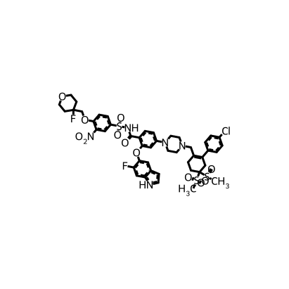 CS(=O)(=O)C1(S(C)(=O)=O)CCC(CN2CCN(c3ccc(C(=O)NS(=O)(=O)c4ccc(OCC5(F)CCOCC5)c([N+](=O)[O-])c4)c(Oc4cc5cc[nH]c5cc4F)c3)CC2)=C(c2ccc(Cl)cc2)C1